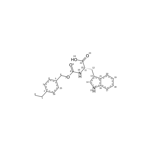 CCc1ccc(COC(=O)N[C@@H](Cc2c[nH]c3ccccc23)C(=O)O)cc1